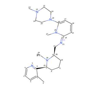 Cc1cccnc1[C@@H]1CCC[C@H](C/N=c2/cccc(N3CCN(C)CC3)n2C)N1C(C)C